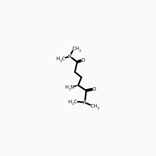 CN(C)C(=O)CC[C@H](N)C(=O)N(C)C